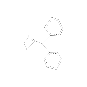 B1=C(C(c2ccccc2)c2ccccc2)BC1